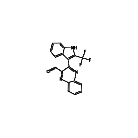 O=Cc1nc2ccccc2nc1-c1c(C(F)(F)F)[nH]c2ccccc12